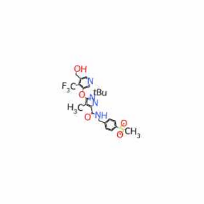 Cc1c(C(=O)NCc2ccc(S(C)(=O)=O)cc2)nn(C(C)(C)C)c1Oc1cncc(CO)c1C(F)(F)F